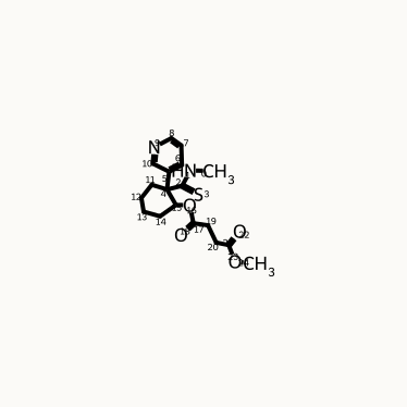 CNC(=S)C1(c2cccnc2)CCCCC1OC(=O)CCC(=O)OC